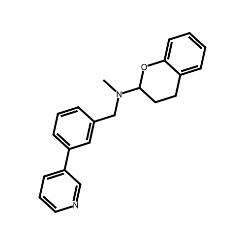 CN(Cc1cccc(-c2cccnc2)c1)C1CCc2ccccc2O1